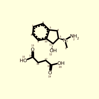 CN(N)[C@@H]1Cc2ccccc2[C@H]1O.O=C(O)CCC(=O)O